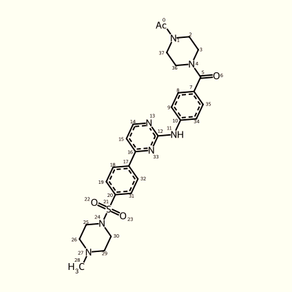 CC(=O)N1CCN(C(=O)c2ccc(Nc3nccc(-c4ccc(S(=O)(=O)N5CCN(C)CC5)cc4)n3)cc2)CC1